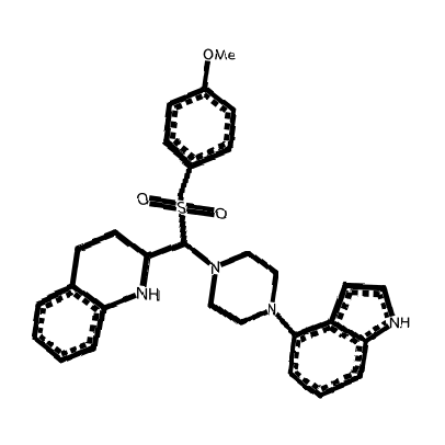 COc1ccc(S(=O)(=O)C(C2CCc3ccccc3N2)N2CCN(c3cccc4[nH]ccc34)CC2)cc1